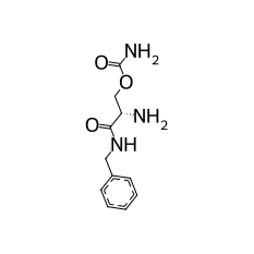 NC(=O)OC[C@H](N)C(=O)NCc1ccccc1